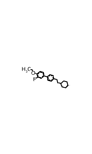 CCOc1ccc(-c2ccc(CCC3CC[CH]CC3)cc2)cc1F